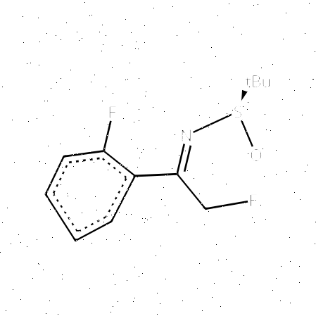 CC(C)(C)[S@@+]([O-])N=C(CF)c1ccccc1F